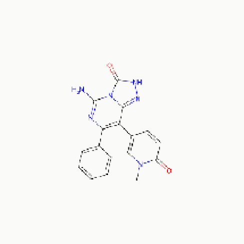 Cn1cc(-c2c(-c3ccccc3)nc(N)n3c(=O)[nH]nc23)ccc1=O